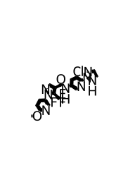 COc1ccc(-n2ncc(C(=O)Nc3cnc(N4N=CCN4)c(Cl)c3)c2C(F)(F)F)cn1